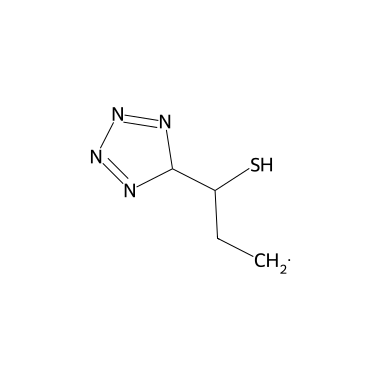 [CH2]CC(S)C1N=NN=N1